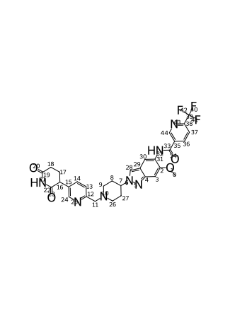 COc1cc2nn(C3CCN(Cc4ccc(C5CCC(=O)NC5=O)cn4)CC3)cc2cc1NC(=O)c1ccc(C(F)(F)F)nc1